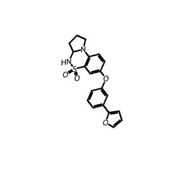 O=S1(=O)NC2CCCN2c2ccc(Oc3cccc(-c4ccco4)c3)cc21